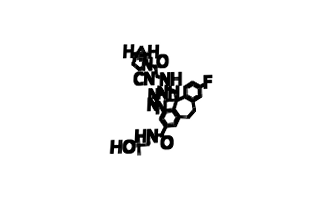 CC(C)(O)CNC(=O)c1ccc2c(c1)CCc1cc(F)ccc1C2(CCNCC(=O)N1C(C#N)C[C@@H]2C[C@@H]21)c1nnn[nH]1